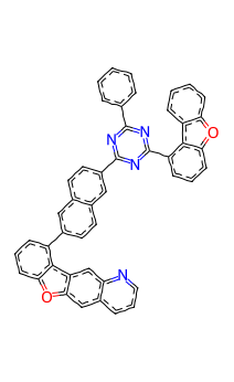 c1ccc(-c2nc(-c3ccc4cc(-c5cccc6oc7cc8cccnc8cc7c56)ccc4c3)nc(-c3cccc4oc5ccccc5c34)n2)cc1